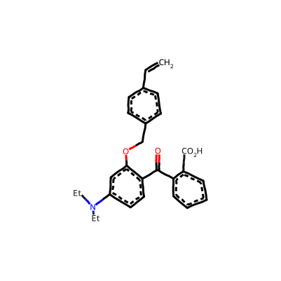 C=Cc1ccc(COc2cc(N(CC)CC)ccc2C(=O)c2ccccc2C(=O)O)cc1